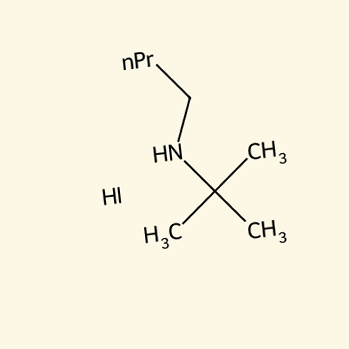 CCCCNC(C)(C)C.I